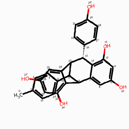 Cc1ccc(C2C3c4cc(O)cc(O)c4[C@@H](c4ccc(O)cc4)C2c2cc(O)cc(O)c23)cc1